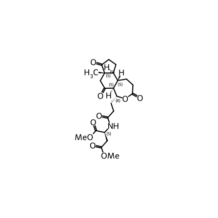 COC(=O)C[C@H](NC(=O)CC[C@H]1OC(=O)CC[C@@H]2[C@@H]1C(=O)C[C@]1(C)C(=O)CC[C@@H]21)C(=O)OC